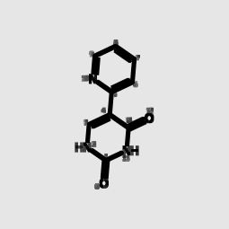 O=c1[nH]cc(-c2ccccn2)c(=O)[nH]1